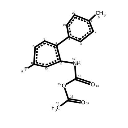 Cc1ccc(-c2ccc(F)cc2NC(=O)OC(=O)C(F)(F)F)cc1